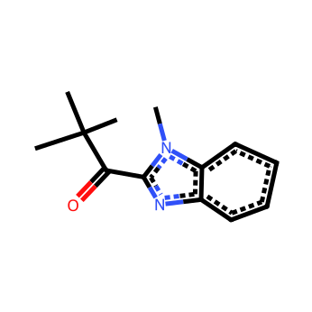 Cn1c(C(=O)C(C)(C)C)nc2ccccc21